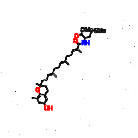 COC(=O)C(CCSC)NC(=O)/C(C)=C/CC/C(C)=C/CC/C(C)=C/CCC1(C)CCc2cc(O)cc(C)c2O1